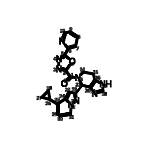 O=C(c1nnc(-c2ccccn2)o1)N1CCc2[nH]cnc2[C@H]1c1cc2c(C3CC3)cccn2n1